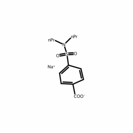 CCCN(CCC)S(=O)(=O)c1ccc(C(=O)[O-])cc1.[Na+]